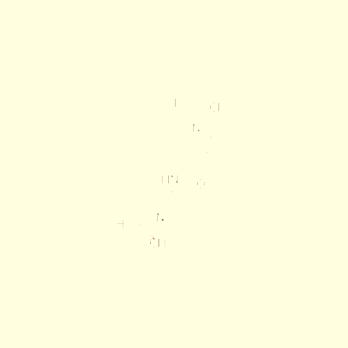 CC(C)N1CCC(C(=O)NC2CCN(C(C)C)C2)CC1